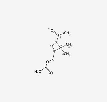 CC(=O)OCC1CC(C(C)=O)C1(C)C